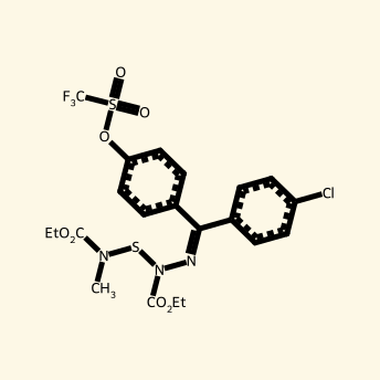 CCOC(=O)N(C)SN(N=C(c1ccc(Cl)cc1)c1ccc(OS(=O)(=O)C(F)(F)F)cc1)C(=O)OCC